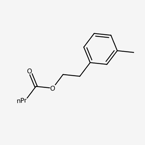 CCCC(=O)OCCc1cccc(C)c1